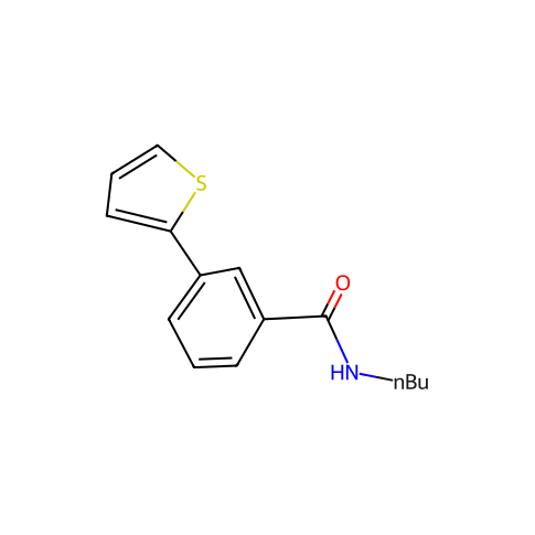 CCCCNC(=O)c1cccc(-c2cccs2)c1